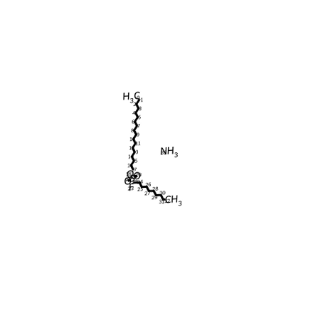 CCCCCCCCCCCCCCCCCCOS(=O)(=O)C(F)CCCCCCCCC.N